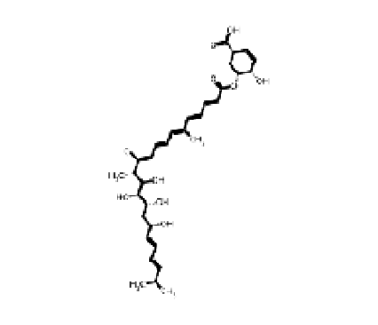 CC(/C=C/C=C/C(=O)O[C@@H]1C[C@@H](C(=O)O)C=C[C@@H]1O)=C\C=C\C=C(/Cl)[C@@H](C)[C@@H](O)[C@H](O)[C@H](O)C[C@@H](O)/C=C/C=C/C(C)C